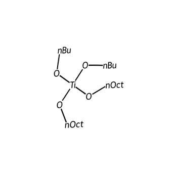 CCCCCCCC[O][Ti]([O]CCCC)([O]CCCC)[O]CCCCCCCC